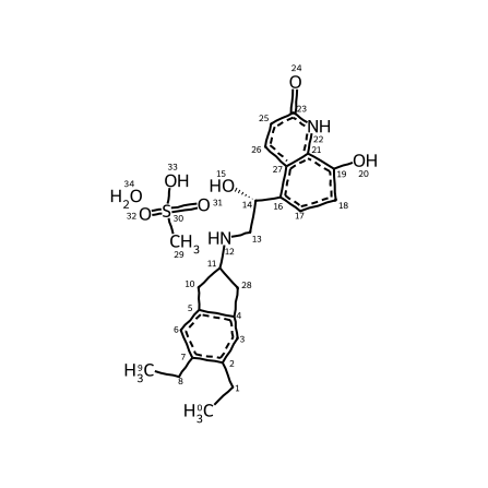 CCc1cc2c(cc1CC)CC(NC[C@H](O)c1ccc(O)c3[nH]c(=O)ccc13)C2.CS(=O)(=O)O.O